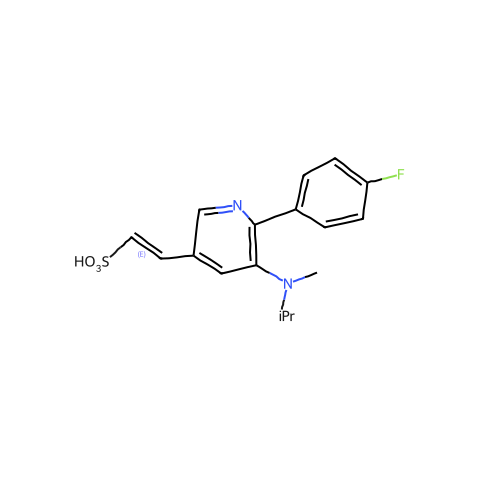 CC(C)N(C)c1cc(/C=C/S(=O)(=O)O)cnc1-c1ccc(F)cc1